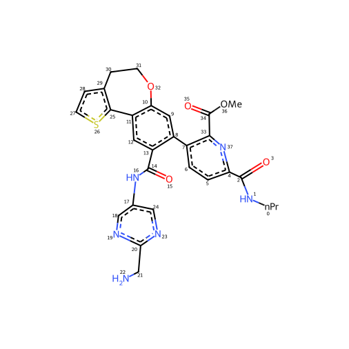 CCCNC(=O)c1ccc(-c2cc3c(cc2C(=O)Nc2cnc(CN)nc2)-c2sccc2CCO3)c(C(=O)OC)n1